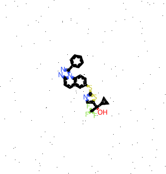 OC(c1cnc(Sc2ccc3c(ccc4nnc(-c5ccccc5)n43)c2)s1)(C1CC1)C(F)(F)F